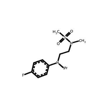 CC(C)N(CCN(C)S(C)(=O)=O)c1ccc(F)cc1